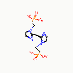 O=P(O)(O)CCn1ccnc1-c1nccn1CCP(=O)(O)O